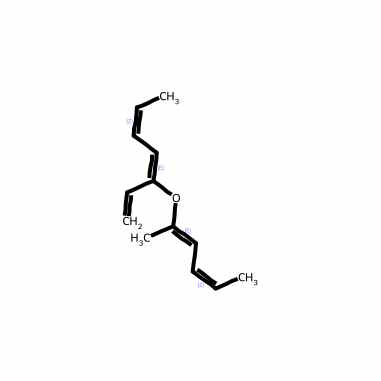 C=C/C(=C\C=C/C)O/C(C)=C/C=C\C